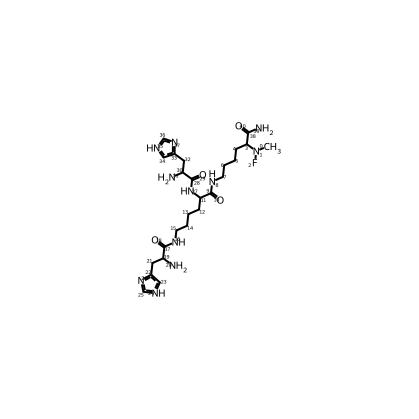 CN(F)C(CCCCNC(=O)C(CCCCNC(=O)C(N)Cc1c[nH]cn1)NC(=O)C(N)Cc1c[nH]cn1)C(N)=O